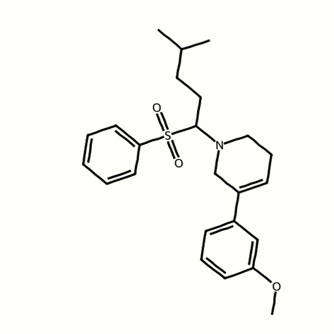 COc1cccc(C2=CCCN(C(CCC(C)C)S(=O)(=O)c3ccccc3)C2)c1